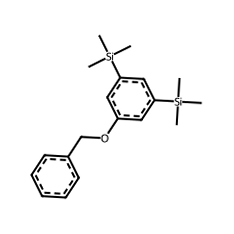 C[Si](C)(C)c1cc(OCc2ccccc2)cc([Si](C)(C)C)c1